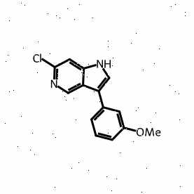 COc1cccc(-c2c[nH]c3cc(Cl)ncc23)c1